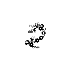 COc1ccc([C@]2(CCN(Cc3ccc(C4=CC[C@H](CN5CCN(C(=O)c6ccc7c8c6CCCn8c(=O)n7[C@@H](CCC(=O)OC(C)(C)C)C(N)=O)CC5)CC4)cc3)CC(C)(C)C(F)(F)F)CCOC(C)(C)C2)cc1